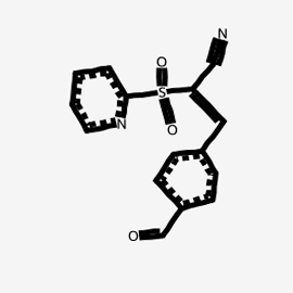 N#C/C(=C/c1ccc(C=O)cc1)S(=O)(=O)c1ccccn1